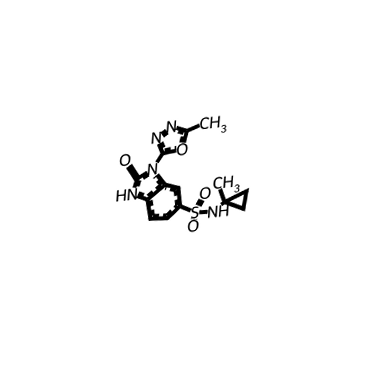 Cc1nnc(-n2c(=O)[nH]c3ccc(S(=O)(=O)NC4(C)CC4)cc32)o1